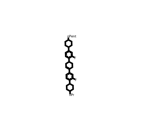 CCCCCC1CCC(c2ccc(C3CC=C(c4ccc(C5CCC(CCC)CC5)c(F)c4)CC3)c(F)c2)CC1